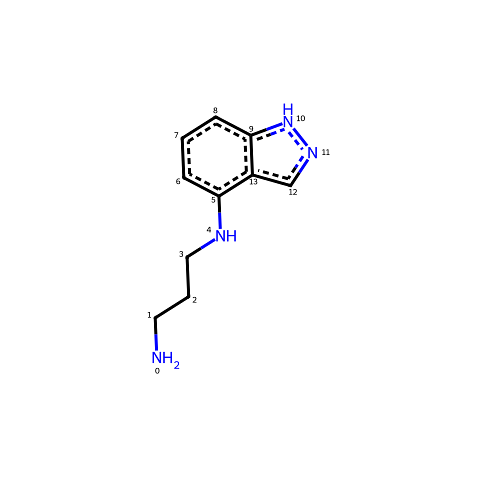 NCCCNc1cccc2[nH]ncc12